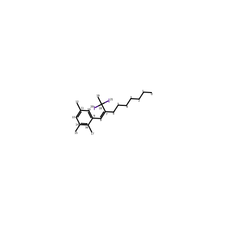 CCCCCCC/C(=C/c1cc(C)cc(C)c1C)C(C)(I)I